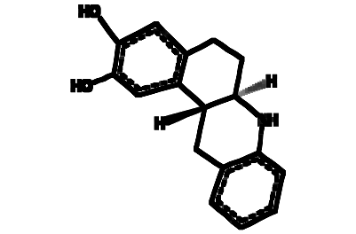 Oc1cc2c(cc1O)[C@H]1Cc3ccccc3N[C@@H]1CC2